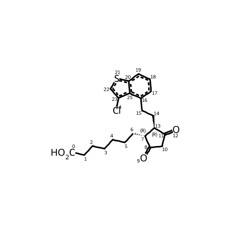 O=C(O)CCCCCC[C@H]1C(=O)CC(=O)[C@@H]1CCc1cccc2scc(Cl)c12